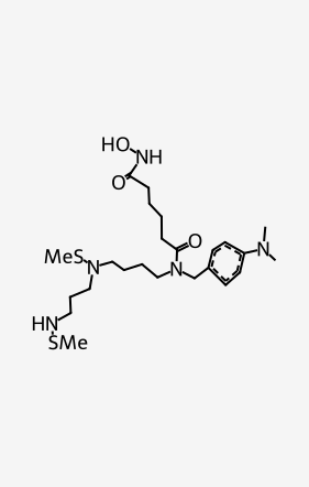 CSNCCCN(CCCCN(Cc1ccc(N(C)C)cc1)C(=O)CCCCC(=O)NO)SC